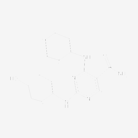 NC(=O)c1cnc(NC2CCC(O)CC2)nc1NC1CCCCC1